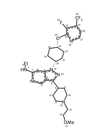 CCNc1cc2c(cn1)c(C1CCN(CCOC)CC1)nn2[C@H]1CC[C@@H](Oc2nccc(C(F)(F)F)c2F)CC1